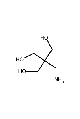 CC(CO)(CO)CO.N